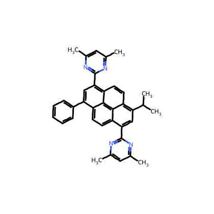 Cc1cc(C)nc(-c2cc(-c3ccccc3)c3ccc4c(-c5nc(C)cc(C)n5)cc(C(C)C)c5ccc2c3c45)n1